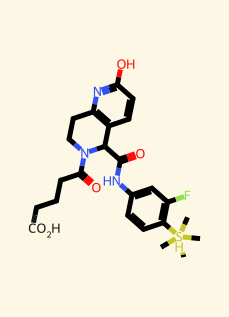 C[SH](C)(C)(C)c1ccc(NC(=O)C2c3ccc(O)nc3CCN2C(=O)CCCC(=O)O)cc1F